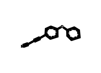 N#CC#Cc1ccc(Oc2ccccc2)cc1